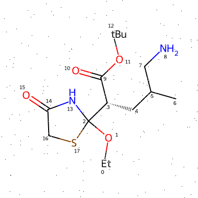 CCOC1([C@@H](CC(C)CN)C(=O)OC(C)(C)C)NC(=O)CS1